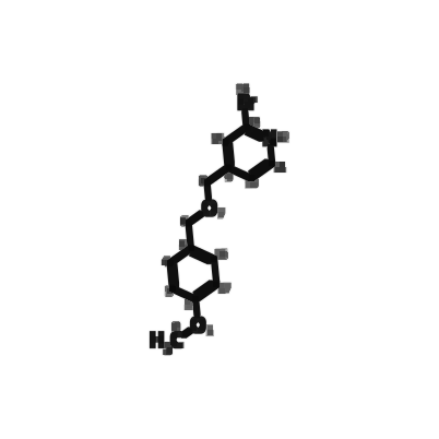 COc1ccc(COCc2ccnc(Br)c2)cc1